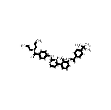 C=CCN(CC=C)C(=O)c1ccc(Nc2nccc(-c3cccc(NC(=O)c4ccc(C(C)(C)C)cc4)c3C)n2)cc1